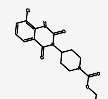 CCOC(=O)N1CCC(n2c(=O)[nH]c3c(Cl)cccc3c2=O)CC1